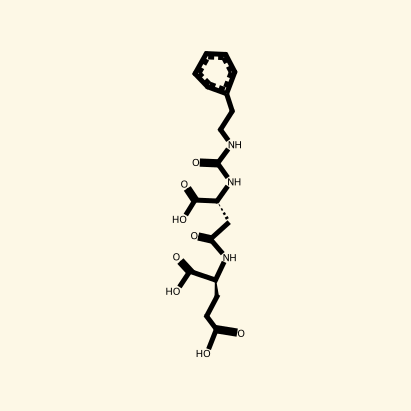 O=C(O)CC[C@H](NC(=O)C[C@@H](NC(=O)NCCc1ccccc1)C(=O)O)C(=O)O